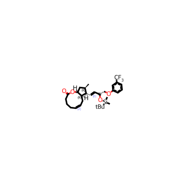 C[C@@H]1C[C@@H]2OC(=O)CCC/C=C\C[C@@H]2[C@H]1/C=C/[C@H](COc1cccc(C(F)(F)F)c1)O[Si](C)(C)C(C)(C)C